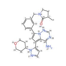 CC1CCN(Cc2cccc(-c3cc(-c4ccnn4C4CCOCC4)c4c(N)ncnn34)c2)C1=O